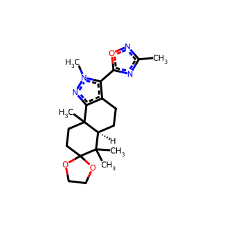 Cc1noc(-c2c3c(nn2C)C2(C)CCC4(OCCO4)C(C)(C)[C@@H]2CC3)n1